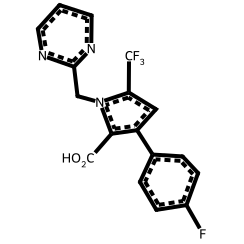 O=C(O)c1c(-c2ccc(F)cc2)cc(C(F)(F)F)n1Cc1ncccn1